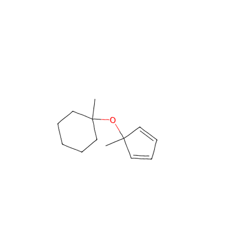 CC1(OC2(C)CCCCC2)C=CC=C1